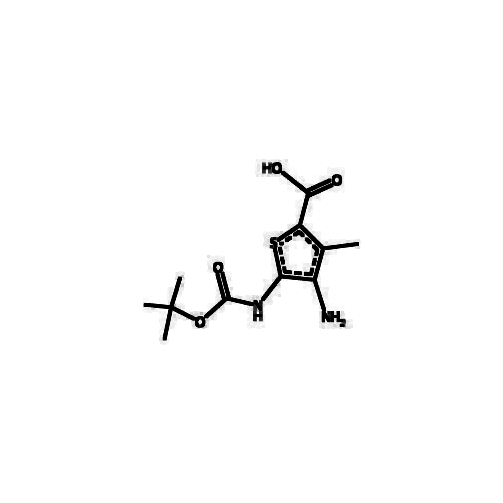 Cc1c(C(=O)O)sc(NC(=O)OC(C)(C)C)c1N